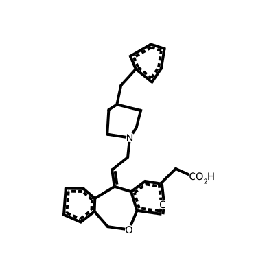 O=C(O)Cc1ccc2c(c1)C(=CCN1CCC(Cc3ccccc3)CC1)c1ccccc1CO2